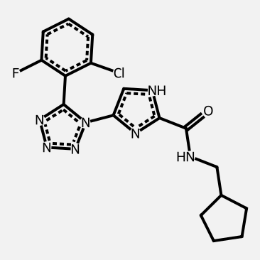 O=C(NCC1CCCC1)c1nc(-n2nnnc2-c2c(F)cccc2Cl)c[nH]1